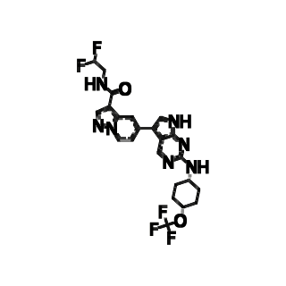 O=C(NCC(F)F)c1cnn2ccc(-c3c[nH]c4nc(N[C@H]5CC[C@@H](OC(F)(F)F)CC5)ncc34)cc12